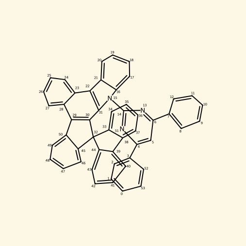 c1ccc(-c2cc(-c3ccccc3)nc(-n3c4ccccc4c4c5ccccc5c5c(c43)C3(c4ccccc4-c4ccccc43)c3ccccc3-5)n2)cc1